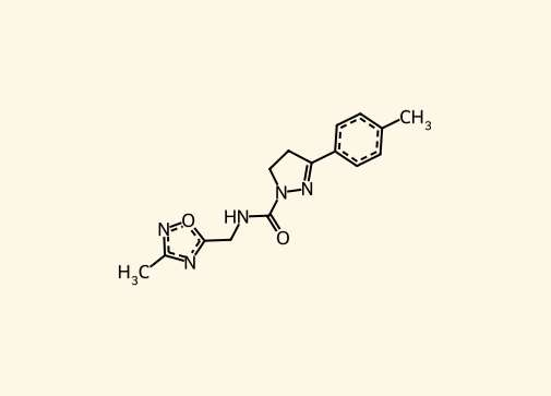 Cc1ccc(C2=NN(C(=O)NCc3nc(C)no3)CC2)cc1